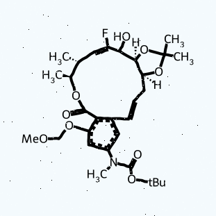 COCOc1cc(N(C)C(=O)OC(C)(C)C)cc2c1C(=O)O[C@@H](C)[C@H](C)/C=C(/F)C(O)[C@H]1OC(C)(C)O[C@H]1C/C=C/2